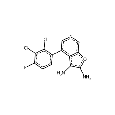 Nc1oc2cncc(-c3ccc(F)c(Cl)c3Cl)c2c1N